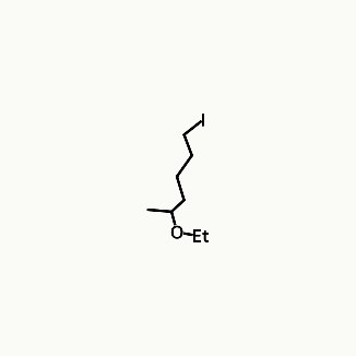 CCOC(C)CCCCI